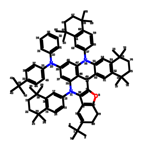 CC(C)(C)C1=Cc2c(oc3c2N(c2ccc4c(c2)C(C)(C)CCC4(C)C)c2cc(N(c4ccccc4)c4ccc(C(C)(C)C)cc4)cc4c2B3c2cc3c(cc2N4c2ccc4c(c2)C(C)(C)CCC4(C)C)C(C)(C)CCC3(C)C)CC1